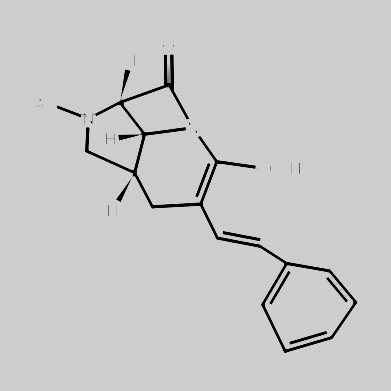 CC(=O)N1C[C@H]2CC(/C=C/c3ccccc3)=C(C(=O)O)N3C(=O)[C@@H]1[C@@H]23